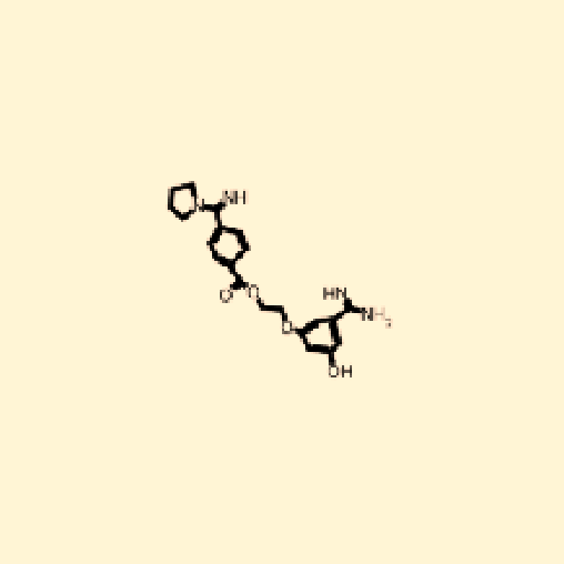 N=C(N)c1cc(O)cc(OCCOC(=O)c2ccc(C(=N)N3CCCC3)cc2)c1